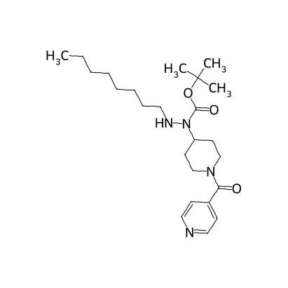 CCCCCCCCNN(C(=O)OC(C)(C)C)C1CCN(C(=O)c2ccncc2)CC1